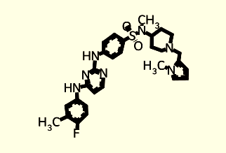 Cc1cc(Nc2ccnc(Nc3ccc(S(=O)(=O)N(C)C4CCN(Cc5cccn5C)CC4)cc3)n2)ccc1F